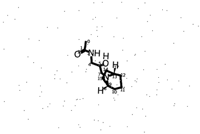 CC(=O)NCC(O)CN1[C@@H]2C[CH]C[C@H]1CC2